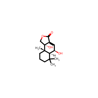 CC1(C)CCC[C@@]2(C)[C@H]1[C@H](O)C=C1C(=O)OC[C@@]12O